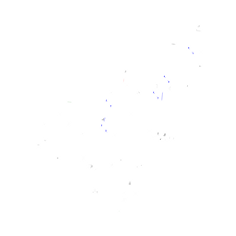 COc1c(C(=O)NN2CCN(C(C)=O)CC2)nn(-c2ccccc2F)c1-c1ccc(Cl)cc1